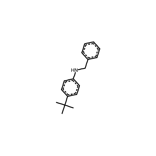 CC(C)(C)c1ccc(NCc2ccccc2)cc1